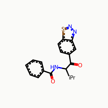 CC(C)C(NC(=O)c1ccccc1)C(=O)c1ccc2snnc2c1